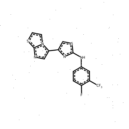 Fc1ccc(Nc2nc(-c3cnc4sccn34)cs2)cc1C(F)(F)F